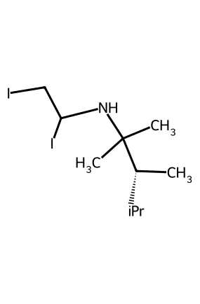 CC(C)[C@@H](C)C(C)(C)NC(I)CI